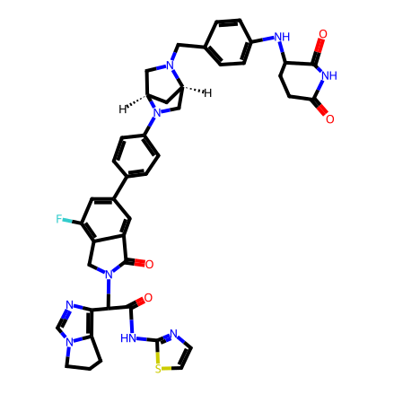 O=C1CCC(Nc2ccc(CN3C[C@H]4C[C@@H]3CN4c3ccc(-c4cc(F)c5c(c4)C(=O)N(C(C(=O)Nc4nccs4)c4ncn6c4CCC6)C5)cc3)cc2)C(=O)N1